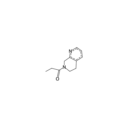 CCC(=O)N1CCc2cccnc2C1